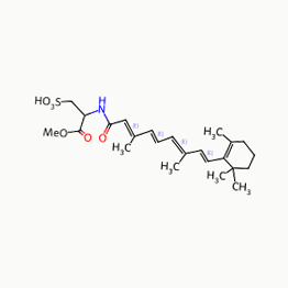 COC(=O)C(CS(=O)(=O)O)NC(=O)/C=C(C)/C=C/C=C(C)/C=C/C1=C(C)CCCC1(C)C